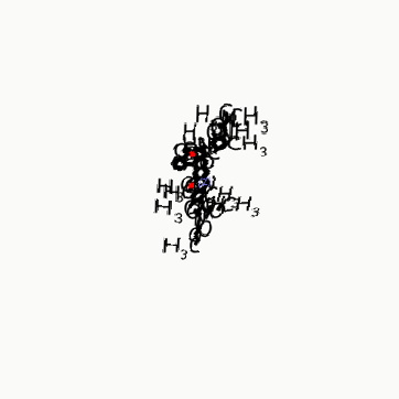 CCOC(=O)CN(CC(=O)OCC)C(=O)Nc1c(C)cc(C)c(/N=c2/cc3oc4cc(Nc5c(C)cc(C)c(NC(=O)N(C)C)c5C)ccc4c(-c4ccccc4S(=O)(=O)O)c-3cc2S(=O)(=O)O)c1C